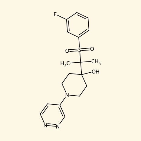 CC(C)(C1(O)CCN(c2ccnnc2)CC1)S(=O)(=O)c1cccc(F)c1